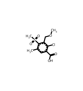 COCc1c(Cl)c(C(=O)O)cc(C)c1S(C)(=O)=O